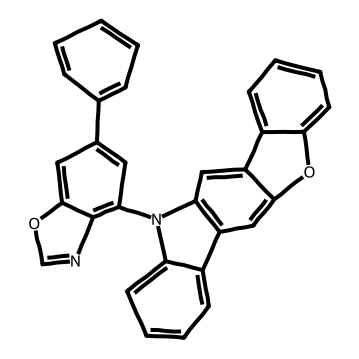 c1ccc(-c2cc(-n3c4ccccc4c4cc5oc6ccccc6c5cc43)c3ncoc3c2)cc1